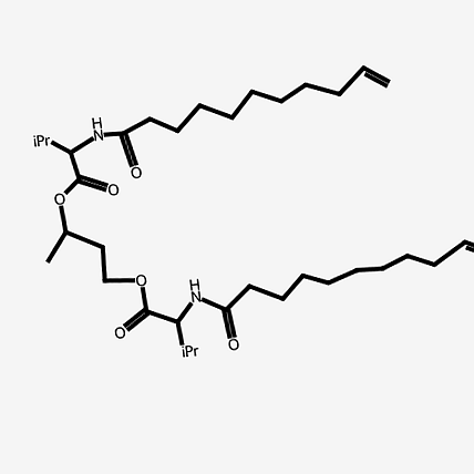 C=CCCCCCCCCC(=O)NC(C(=O)OCCC(C)OC(=O)C(NC(=O)CCCCCCCCC=C)C(C)C)C(C)C